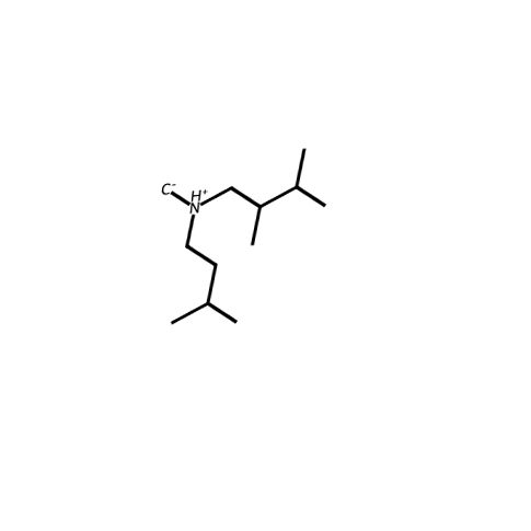 [CH2-][NH+](CCC(C)C)CC(C)C(C)C